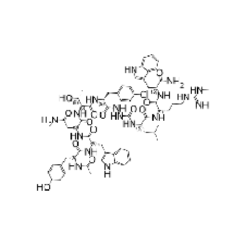 CNC(=N)NCCC[C@H](NC(=O)[C@H](CC(C)C)NC(=O)NNC(=O)[C@H](Cc1ccc(Cl)cc1)NC(=O)[C@@H](NC(=O)[C@H](CC(N)=O)NC(=O)[C@H](Cc1c[nH]c2ccccc12)NC(=O)[C@@H](Cc1ccc(O)cc1)NC(C)=O)[C@@H](C)O)C(=O)N[C@@H](Cc1c[nH]c2ccccc12)C(N)=O